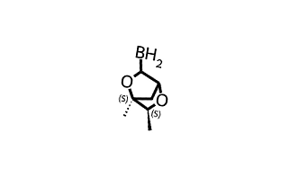 BC1O[C@@]2(C)CC1O[C@H]2C